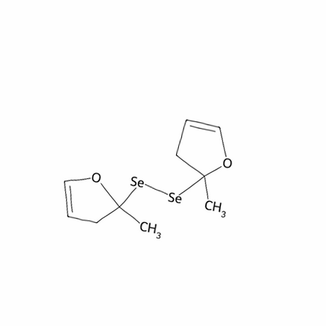 CC1([Se][Se]C2(C)CC=CO2)CC=CO1